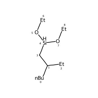 CCCCC(CC)C[SiH](OCC)OCC